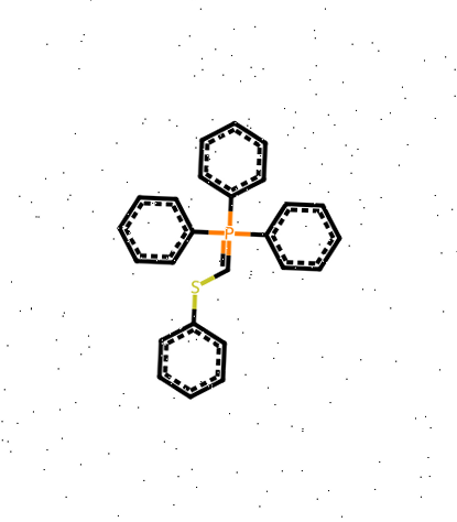 C(Sc1ccccc1)=P(c1ccccc1)(c1ccccc1)c1ccccc1